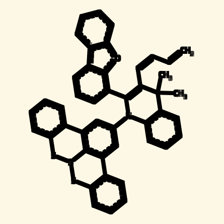 C=C/C=C\C1=C(c2cccc3c2oc2ccccc23)N(c2cc3c4c(c2)-c2ccccc2SB4Sc2ccccc2-3)c2ccccc2C1(C)C